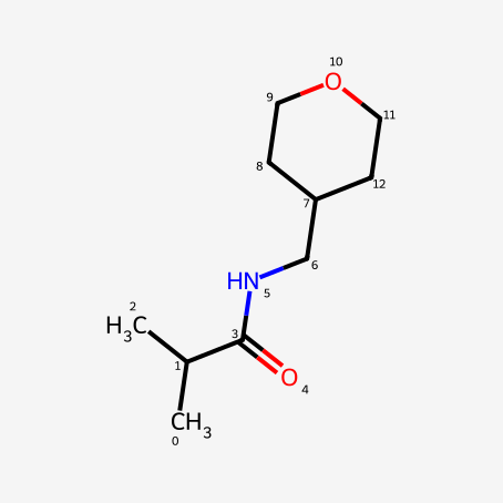 CC(C)C(=O)NCC1CCOCC1